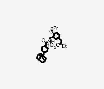 CCCOc1ccc(C[C@H](CC)C(=O)O)cc1CNC(=O)c1ccc(C23CC4CC(CC(C4)C2)C3)cc1